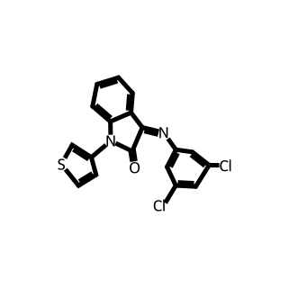 O=C1/C(=N\c2cc(Cl)cc(Cl)c2)c2ccccc2N1c1ccsc1